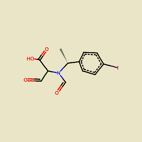 C[C@H](c1ccc(I)cc1)N(C=O)C(C=O)C(=O)O